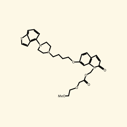 COCCOCC(=O)OCn1c(=O)ccc2ccc(OCCCCN3CCN(c4cccc5sccc45)CC3)cc21